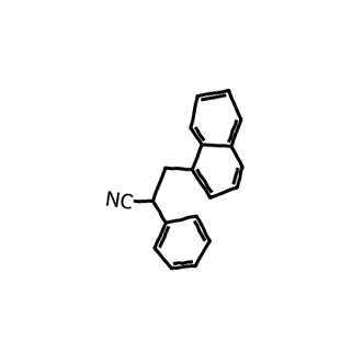 N#CC(Cc1cccc2ccccc12)c1ccccc1